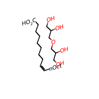 CCCCCCCC/C=C\CCCCCCCC(=O)O.OCC(O)COCC(O)CO